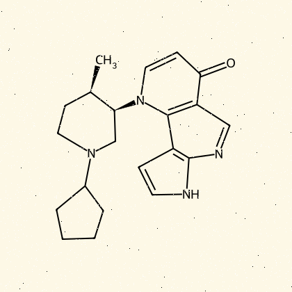 C[C@@H]1CCN(C2CCCC2)C[C@@H]1n1ccc(=O)c2cnc3[nH]ccc3c21